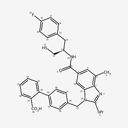 CCCc1nc2c(C)cc(C(=O)N[C@@H](CS)Cc3ccc(F)cc3)cc2n1Cc1ccc(-c2ccccc2C(=O)O)cc1